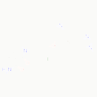 Cn1cnc(-c2cc3nccc(Oc4ccc(N(C(=O)C5(C(N)=O)CC5)c5ccccc5)cc4F)c3s2)c1